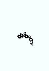 COc1cc(OC2CCN(CC(C)C)CC2)ccc1-c1cnc2ccccc2c1